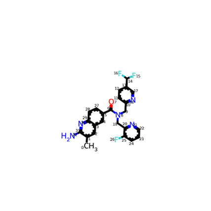 Cc1cc2cc(C(=O)N(Cc3ccc(C(F)F)cn3)Cc3ncccc3F)ccc2nc1N